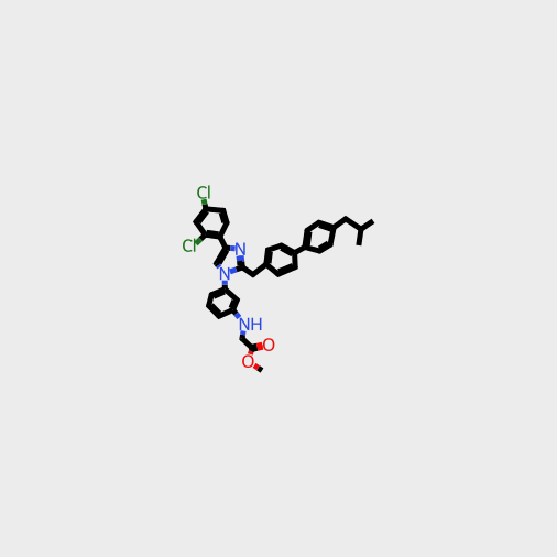 COC(=O)CNc1cccc(-n2cc(-c3ccc(Cl)cc3Cl)nc2Cc2ccc(-c3ccc(CC(C)C)cc3)cc2)c1